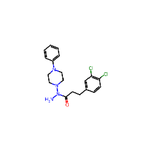 NN(C(=O)CCc1ccc(Cl)c(Cl)c1)N1CCN(c2ccccc2)CC1